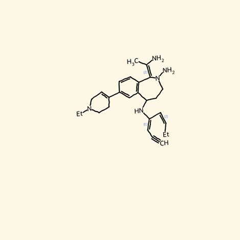 C#C/C=C(\C=C/CC)NC1CCN(N)/C(=C(/C)N)c2ccc(C3=CCN(CC)CC3)cc21